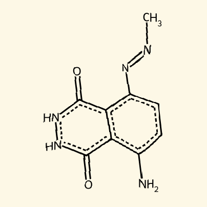 CN=Nc1ccc(N)c2c(=O)[nH][nH]c(=O)c12